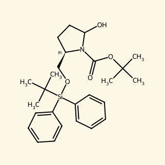 CC(C)(C)OC(=O)N1C(O)CC[C@@H]1CO[Si](c1ccccc1)(c1ccccc1)C(C)(C)C